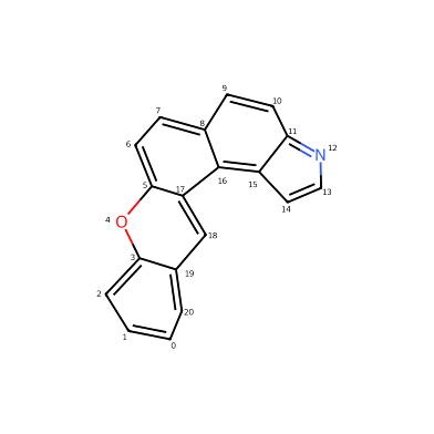 c1ccc2oc3ccc4ccc5nccc5c4c3cc2c1